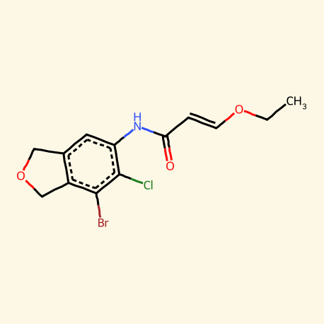 CCOC=CC(=O)Nc1cc2c(c(Br)c1Cl)COC2